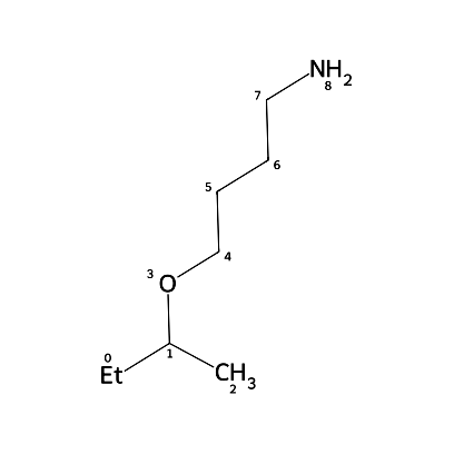 CCC(C)OCCCCN